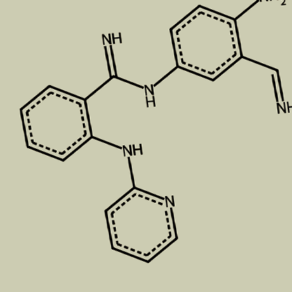 N=Cc1cc(NC(=N)c2ccccc2Nc2ccccn2)ccc1N